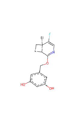 CCC12CCC1C(OCc1cc(O)cc(O)c1)=NC=C2F